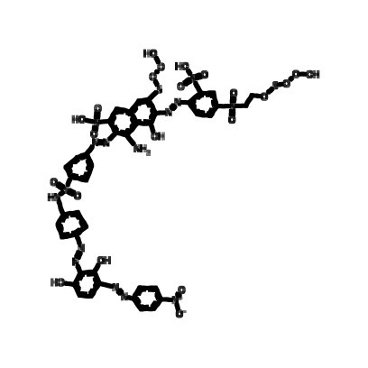 Nc1c(/N=N/c2ccc(S(=O)(=O)Nc3ccc(/N=N/c4c(O)ccc(N=Nc5ccc([N+](=O)[O-])cc5)c4O)cc3)cc2)c(S(=O)(=O)O)cc2cc(SOOO)c(/N=N/c3ccc(S(=O)(=O)CCOSOOO)cc3S(=O)(=O)O)c(O)c12